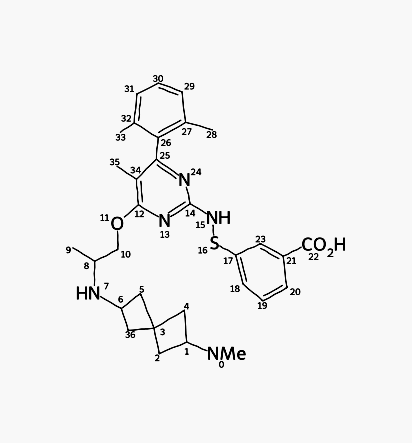 CNC1CC2(C1)CC(NC(C)COc1nc(NSc3cccc(C(=O)O)c3)nc(-c3c(C)cccc3C)c1C)C2